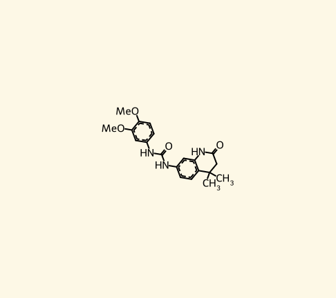 COc1ccc(NC(=O)Nc2ccc3c(c2)NC(=O)CC3(C)C)cc1OC